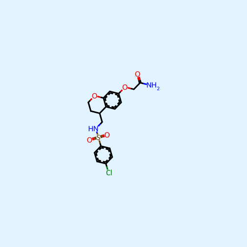 NC(=O)COc1ccc2c(c1)OCCC2CNS(=O)(=O)c1ccc(Cl)cc1